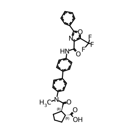 CN(C(=O)[C@@H]1CCC[C@H]1C(=O)O)c1ccc(-c2ccc(NC(=O)c3nc(-c4ccccc4)oc3C(F)(F)F)cc2)cc1